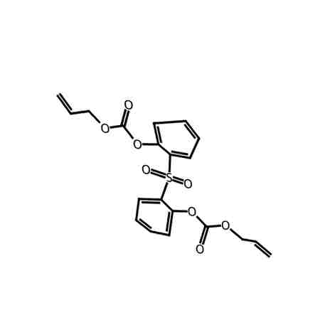 C=CCOC(=O)Oc1ccccc1S(=O)(=O)c1ccccc1OC(=O)OCC=C